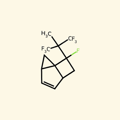 CC(C(F)(F)F)(C(F)(F)F)C1(F)CC2C=CC3CC321